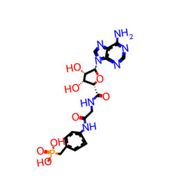 Nc1ncnc2c1ncn2[C@@H]1O[C@H](C(=O)NCC(=O)Nc2ccc(CP(=O)(O)O)cc2)[C@H](O)[C@@H]1O